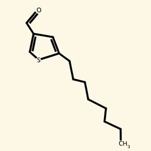 CCCCCCCCc1cc(C=O)cs1